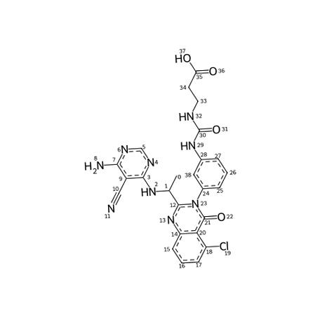 CC(Nc1ncnc(N)c1C#N)c1nc2cccc(Cl)c2c(=O)n1-c1cccc(NC(=O)NCCC(=O)O)c1